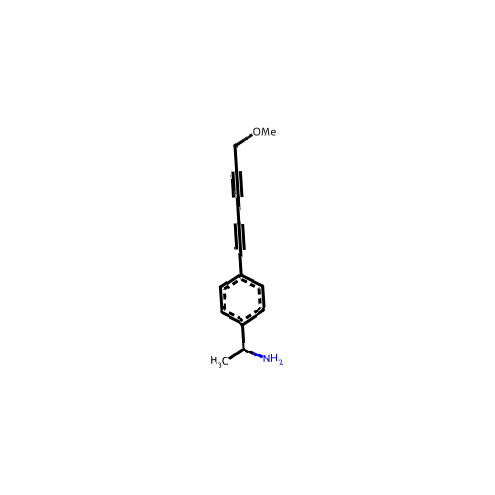 COCC#CC#Cc1ccc(C(C)N)cc1